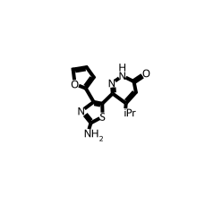 CC(C)c1cc(=O)[nH]nc1-c1sc(N)nc1-c1ccco1